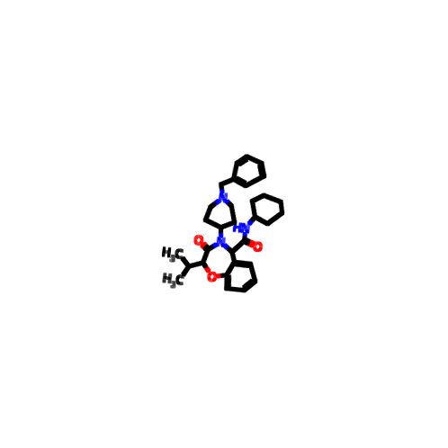 CC(C)C1Oc2ccccc2C(C(=O)NC2CCCCC2)N(C2CCN(Cc3ccccc3)CC2)C1=O